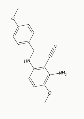 COc1ccc(CNc2ccc(OC)c(N)c2C#N)cc1